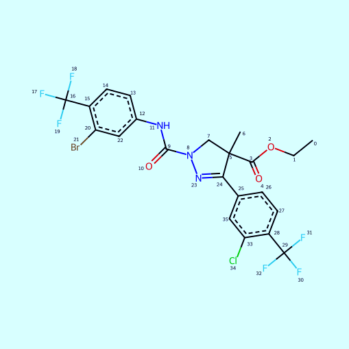 CCOC(=O)C1(C)CN(C(=O)Nc2ccc(C(F)(F)F)c(Br)c2)N=C1c1ccc(C(F)(F)F)c(Cl)c1